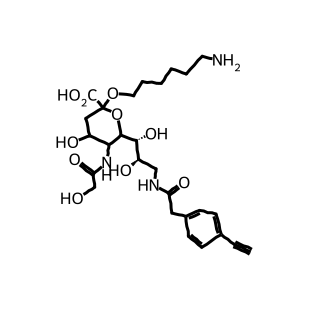 C#Cc1ccc(CC(=O)NC[C@@H](O)[C@@H](O)C2OC(OCCCCCCN)(C(=O)O)CC(O)C2NC(=O)CO)cc1